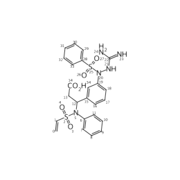 C=CS(=O)(=O)N(c1ccccc1)C(CC(=O)O)c1cccc(N(NC(=N)N)S(=O)(=O)c2ccccc2)c1